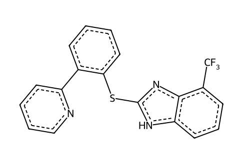 FC(F)(F)c1cccc2[nH]c(Sc3ccccc3-c3ccccn3)nc12